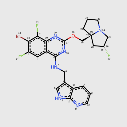 Fc1cc2c(NCc3c[nH]c4ncccc34)nc(OC[C@@]34CCCN3C[C@H](F)C4)nc2c(F)c1Br